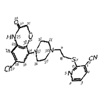 N#Cc1cccnc1SCCN1CCN(c2cc(Cl)cc3c2OCC(=O)N3)CC1